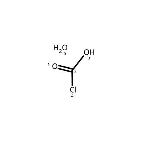 O.O=C(O)Cl